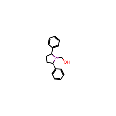 OCP1C(c2ccccc2)CC[C@@H]1c1ccccc1